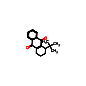 CC(C)(C)C1CCCC2=C1C(=O)c1ccccc1C2=O